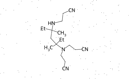 CCC(C)(CC(C)(CC)N(CCC#N)CCC#N)NCCC#N